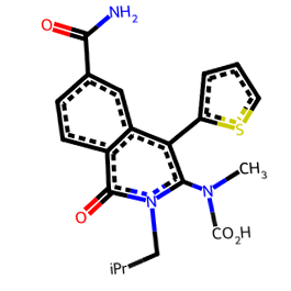 CC(C)Cn1c(N(C)C(=O)O)c(-c2cccs2)c2cc(C(N)=O)ccc2c1=O